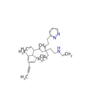 C=CNCCC(CC)(CCCc1cccnn1)CC(=C)C(C=C)C1C(C)=CC(C#CC)=CC1C